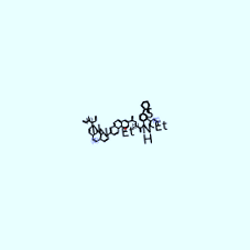 C=CC(C1=NCC(/C=C\C2C=CC(C3=CC4=CC=C5C=C(C(=C)C[C@H](C)C(=C)C6NC(C)=C(/C=C\CC)c7c6ccc6c7sc7ccccc76)C=C(CC)C5C4C=C3)=NC2)C=C1)[C@H](C)C=C